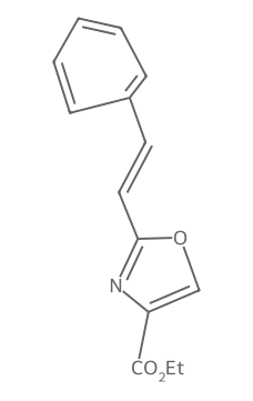 CCOC(=O)c1coc(/C=C/c2ccccc2)n1